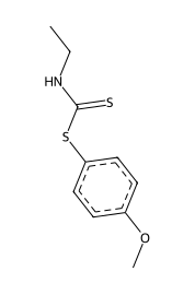 CCNC(=S)Sc1ccc(OC)cc1